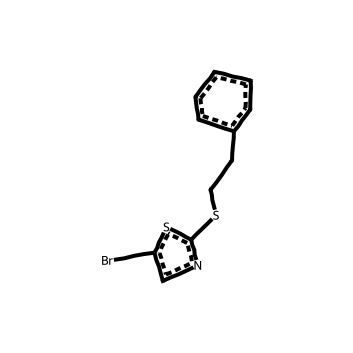 Brc1cnc(SCCc2ccccc2)s1